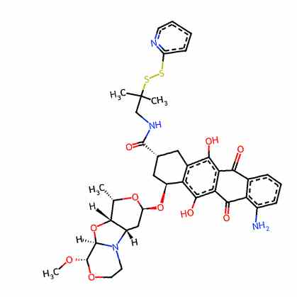 CO[C@H]1OCCN2[C@@H]1O[C@@H]1[C@H](C)O[C@@H](O[C@H]3C[C@H](C(=O)NCC(C)(C)SSc4ccccn4)Cc4c(O)c5c(c(O)c43)C(=O)c3c(N)cccc3C5=O)C[C@@H]12